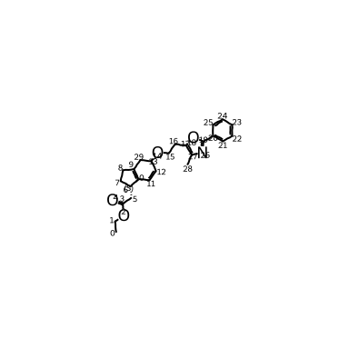 CCOC(=O)C[C@@H]1CCC2=C1C=CC(OCCc1oc(-c3ccccc3)nc1C)C2